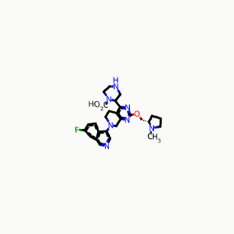 CN1CCC[C@H]1COc1nc2c(c(C3CNCCN3C(=O)O)n1)CCN(c1cncc3cc(F)ccc13)C2